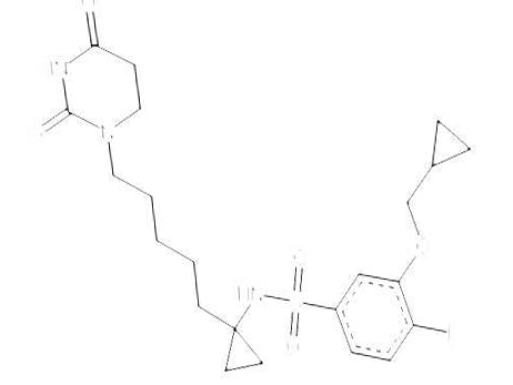 O=C1CCN(CCCCCC2(NS(=O)(=O)c3ccc(F)c(OCC4CC4)c3)CC2)C(=O)N1